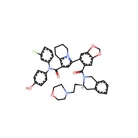 O=C(c1cc(-c2cc3c(cc2C(=O)N2Cc4ccccc4C[C@H]2CCN2CCOCC2)OCO3)n2c1CCCC2)N(c1ccc(O)cc1)c1cccc(F)c1